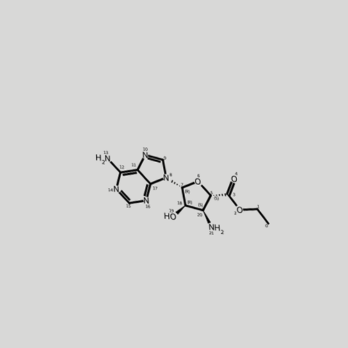 CCOC(=O)[C@H]1O[C@@H](n2cnc3c(N)ncnc32)[C@H](O)[C@@H]1N